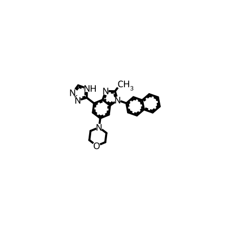 Cc1nc2c(-c3nnc[nH]3)cc(N3CCOCC3)cc2n1-c1ccc2ccccc2c1